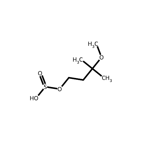 COC(C)(C)CCOS(=O)O